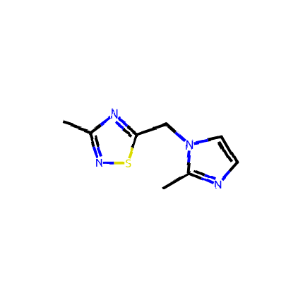 Cc1nsc(Cn2ccnc2C)n1